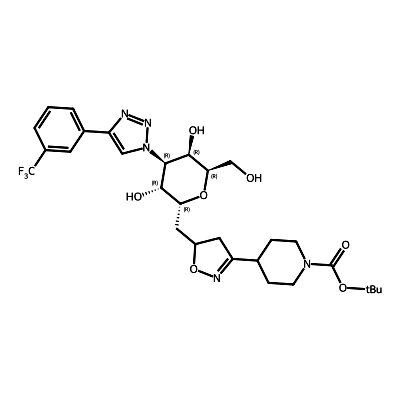 CC(C)(C)OC(=O)N1CCC(C2=NOC(C[C@H]3O[C@H](CO)[C@H](O)[C@H](n4cc(-c5cccc(C(F)(F)F)c5)nn4)[C@H]3O)C2)CC1